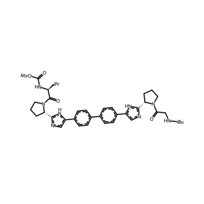 CCC(C)NCC(=O)N1CCC[C@H]1c1ncc(-c2ccc(-c3ccc(-c4cnc([C@@H]5CCCN5C(=O)[C@@H](NC(=O)OC)C(C)C)[nH]4)cc3)cc2)[nH]1